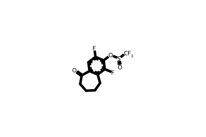 O=C1CCCCc2c1cc(F)c(OS(=O)C(F)(F)F)c2F